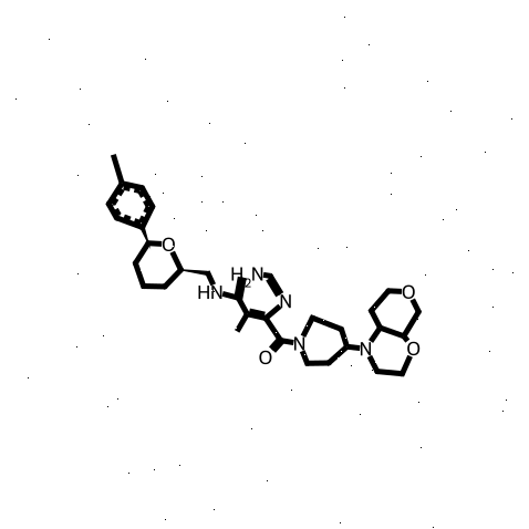 C=C(NC[C@H]1CCC[C@@H](c2ccc(C)cc2)O1)/C(C)=C(\N=C/N)C(=O)N1CCC(N2CCOC3COCCC32)CC1